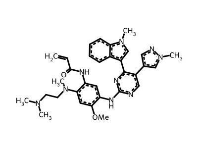 C=CC(=O)Nc1cc(Nc2ncc(-c3cnn(C)c3)c(-c3cn(C)c4ccccc34)n2)c(OC)cc1N(C)CCN(C)C